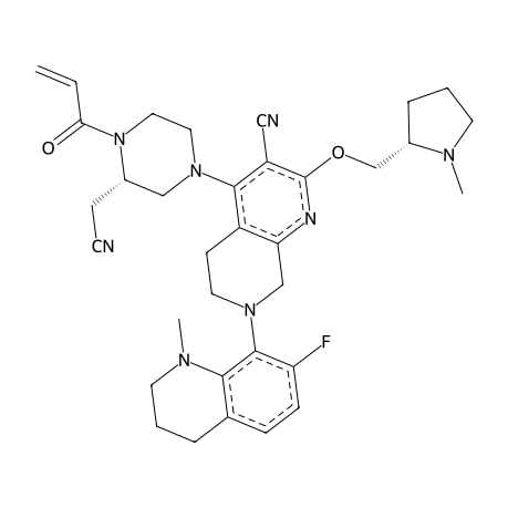 C=CC(=O)N1CCN(c2c(C#N)c(OC[C@@H]3CCCN3C)nc3c2CCN(c2c(F)ccc4c2N(C)CCC4)C3)C[C@@H]1CC#N